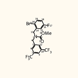 COC(=O)N(Cc1cc(C(F)(F)F)cc(C(F)(F)F)c1)Cc1cc(F)ccc1Br